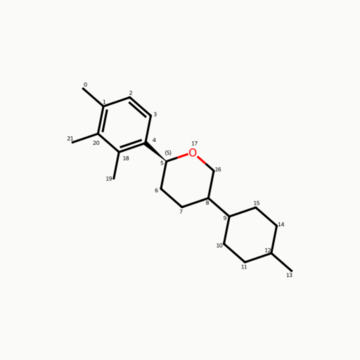 Cc1ccc([C@@H]2CCC(C3CCC(C)CC3)CO2)c(C)c1C